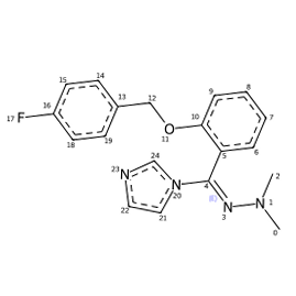 CN(C)/N=C(\c1ccccc1OCc1ccc(F)cc1)n1ccnc1